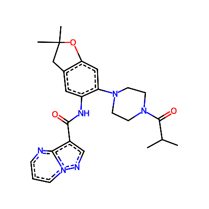 CC(C)C(=O)N1CCN(c2cc3c(cc2NC(=O)c2cnn4cccnc24)CC(C)(C)O3)CC1